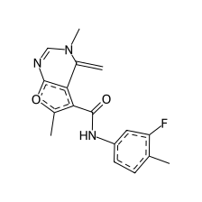 C=C1c2c(oc(C)c2C(=O)Nc2ccc(C)c(F)c2)N=CN1C